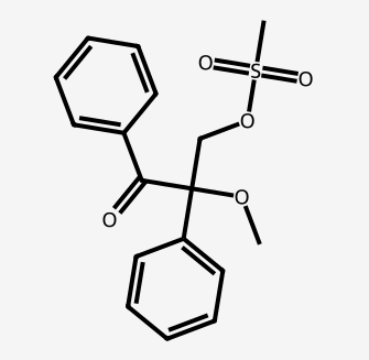 COC(COS(C)(=O)=O)(C(=O)c1ccccc1)c1ccccc1